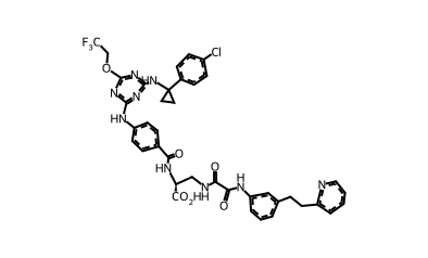 O=C(NC[C@H](NC(=O)c1ccc(Nc2nc(NC3(c4ccc(Cl)cc4)CC3)nc(OCC(F)(F)F)n2)cc1)C(=O)O)C(=O)Nc1cccc(CCc2ccccn2)c1